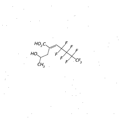 CC(O)CC(=CC(F)(F)C(F)(F)C(F)(F)C(F)(F)F)C(=O)O